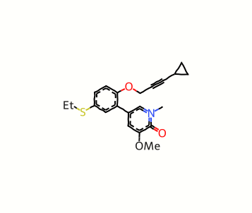 CCSc1ccc(OCC#CC2CC2)c(-c2cc(OC)c(=O)n(C)c2)c1